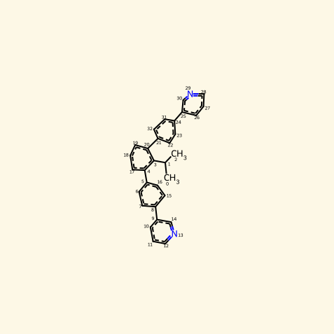 CC(C)c1c(-c2ccc(-c3cccnc3)cc2)cccc1-c1ccc(-c2cccnc2)cc1